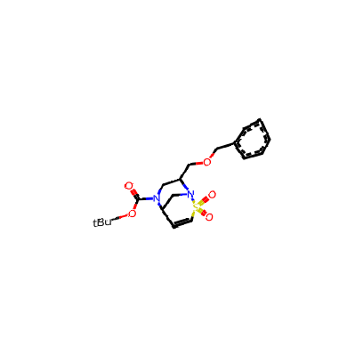 CC(C)(C)OC(=O)N1CC(COCc2ccccc2)N2CC1C=CS2(=O)=O